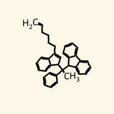 C=CCCCCC1=CC(C(C)(c2ccccc2)C2c3ccccc3-c3ccccc32)c2ccccc21